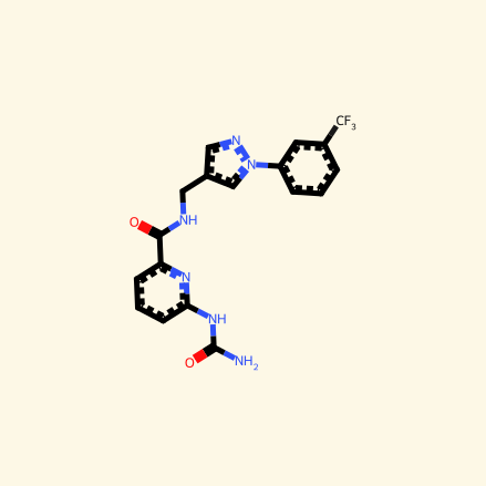 NC(=O)Nc1cccc(C(=O)NCc2cnn(-c3cccc(C(F)(F)F)c3)c2)n1